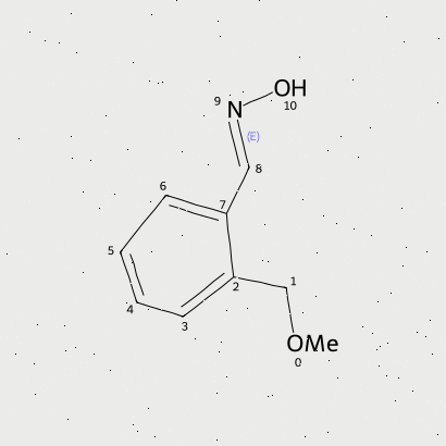 COCc1ccccc1/C=N/O